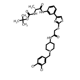 C[C@@H](NC(=O)OC(C)(C)C)C(=O)Nc1cccc(-c2csc(SCC(=O)NC3CCN(Cc4ccc(Cl)c(Cl)c4)CC3)n2)c1